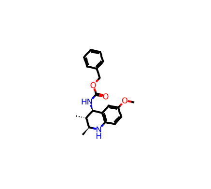 COc1ccc2c(c1)[C@H](NC(=O)OCc1ccccc1)[C@@H](C)[C@H](C)N2